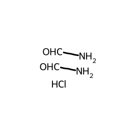 Cl.NC=O.NC=O